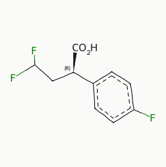 O=C(O)[C@H](CC(F)F)c1ccc(F)cc1